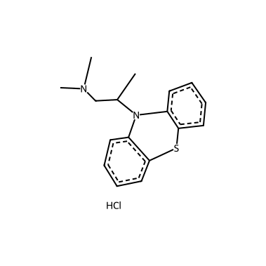 CC(CN(C)C)N1c2ccccc2Sc2ccccc21.Cl